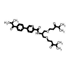 CC(C)C(=O)CCOCC(COCCC(=O)C(C)C)NC(=O)c1ccc(-c2ccc(C(=O)C(C)C)cc2)cn1